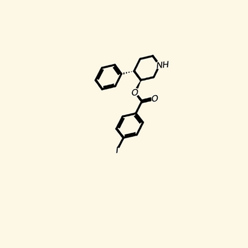 O=C(O[C@@H]1CNCC[C@H]1c1ccccc1)c1ccc(I)cc1